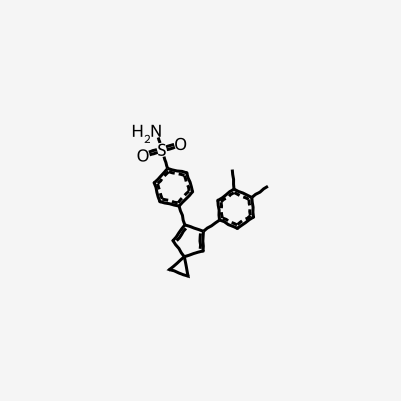 Cc1ccc(C2=CC3(C=C2c2ccc(S(N)(=O)=O)cc2)CC3)cc1C